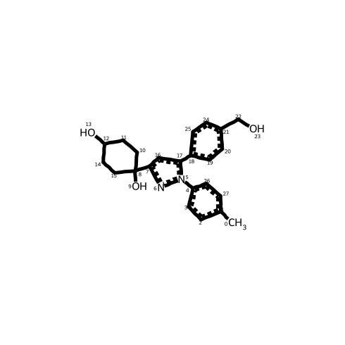 Cc1ccc(-n2nc(C3(O)CCC(O)CC3)cc2-c2ccc(CO)cc2)cc1